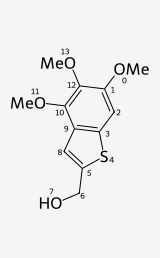 COc1cc2sc(CO)cc2c(OC)c1OC